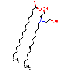 CCCCCCCCCCCCCCC(=O)O.CCCCCCCCCCCCN(CCO)CCO